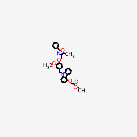 CCOC(=O)COc1cccc2c1c1ccccc1n2Cc1ccc(OCc2nc(-c3ccccc3)oc2C)c(OC)c1